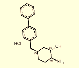 Cl.N[C@H]1CC[C@@H](Cc2ccc(-c3ccccc3)cc2)C[C@@H]1O